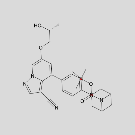 C[C@@H](O)COc1cc(-c2ccc(N3CC4CC(C3)N4C(=O)OC(C)(C)C)nc2)c2c(C#N)cnn2c1